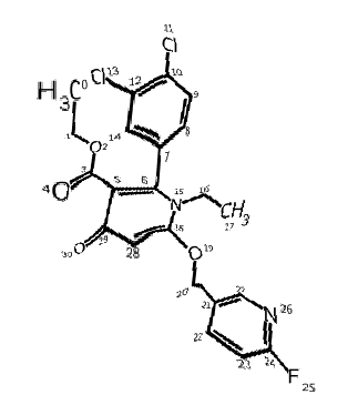 CCOC(=O)c1c(-c2ccc(Cl)c(Cl)c2)n(CC)c(OCc2ccc(F)nc2)cc1=O